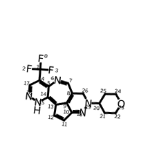 FC(F)(F)C1=c2ncc3c4c(ccc-4c2NN=C1)=NN(C1CCOCC1)C3